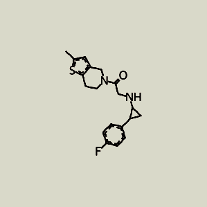 Cc1cc2c(s1)CCN(C(=O)CNC1CC1c1ccc(F)cc1)C2